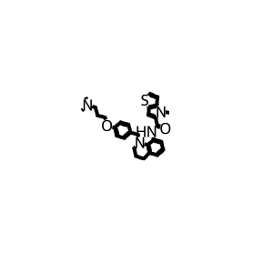 CN(C)CCCOc1ccc(CN2CCCc3cccc(NC(=O)c4cc5sccc5n4C)c32)cc1